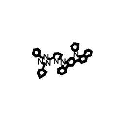 c1ccc(-c2nc(-c3ccccc3)nc(-c3cccc(-n4c5ccccc5c5cc6c7ccc8ccccc8c7n(-c7ccccc7)c6cc54)n3)n2)cc1